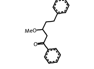 COC(CCc1ccccc1)CC(=O)c1ccccc1